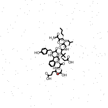 CCCC[C@H](NC(=O)[C@H](CC(C)C)NC(=O)[C@@H](NC(=O)[C@H](Cc1ccc(O)cc1)NC(C(=O)[C@H](CCC(=O)O)NC(=O)[C@H](CC(=O)O)NC(=O)CCC(=O)O)c1ccccc1)C(C)(C)C)C(=O)C(N)=O